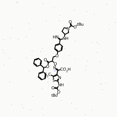 CC(C)(C)OC(=O)Nc1nc(/C(=N/OC(COc2ccc(C(=N)NC3CCN(C(=O)OC(C)(C)C)C3)cc2)C(=O)OC(c2ccccc2)c2ccccc2)C(=O)O)c(C(F)(F)F)s1